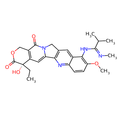 CC[C@@]1(O)C(=O)OCc2c1cc1n(c2=O)Cc2cc3c(NC(=NC)C(C)C)c(OC)ccc3nc2-1